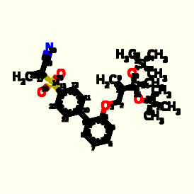 C=C(COc1ccccc1-c1ccc(S(=O)(=O)C(=C)C#N)cc1)[Si](C)(O[Si](C)(C)C)O[Si](C)(C)C